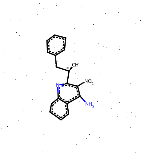 C[C@H](Cc1ccccc1)c1nc2ccccc2c(N)c1[N+](=O)[O-]